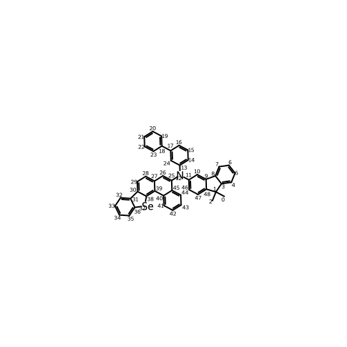 CC1(C)c2ccccc2-c2cc(N(c3cccc(-c4ccccc4)c3)c3cc4ccc5c6ccccc6[se]c5c4c4ccccc34)ccc21